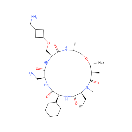 CCCCCC[C@H]1OC[C@@H](C)NC(=O)[C@H](COC2CC(CN)C2)NC(=O)[C@H](CN)NC(=O)[C@H](C2CCCCC2)NC(=O)[C@H](CC(C)C)N(C)C(=O)[C@@H]1C